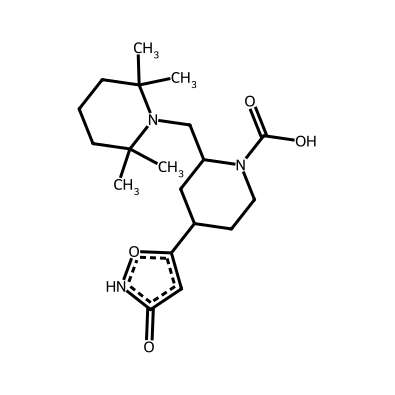 CC1(C)CCCC(C)(C)N1CC1CC(c2cc(=O)[nH]o2)CCN1C(=O)O